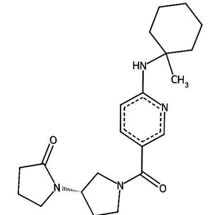 CC1(Nc2ccc(C(=O)N3CC[C@H](N4CCCC4=O)C3)cn2)CCCCC1